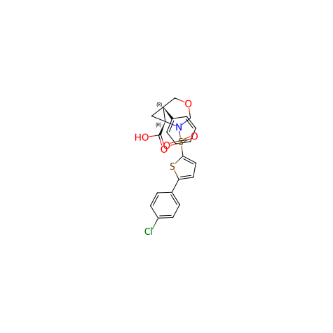 O=C(O)[C@@]12C[C@]1(c1ccccc1)COCN2S(=O)(=O)c1ccc(-c2ccc(Cl)cc2)s1